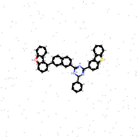 c1ccc(C2N=C(c3ccc4sc5ccccc5c4c3)N=C(c3ccc4ccc(-c5cccc6oc7ccccc7c56)cc4c3)N2)cc1